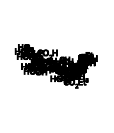 CCOC(=O)N[C@H]1C(CO)O[C@@H](OC(=O)[C@]23CCC(C)(C)CC2C2=CCC4C5(C)CC[C@H](O[C@@H]6OC(C(=O)O)C[C@H](O[C@@H]7OC[C@@H](O)[C@H](O)C7O)C6O[C@@H]6OC(CO)[C@H](O)[C@H](O)C6O)[C@](C)(C=O)[C@@H]5CC[C@]4(C)[C@]2(C)CC3O)C(O[C@@H]2OC(C)[C@H](O[C@@H]3OC[C@@H](O)C(O[C@@H]4OC[C@@](O)(CC)C4O)C3O)C(O)C2O)C1O